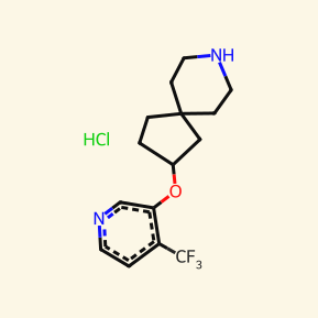 Cl.FC(F)(F)c1ccncc1OC1CCC2(CCNCC2)C1